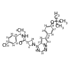 C[C@H](NC(=O)C1CN(c2ncnn3cc(-c4ccc(OC(C)(C)C)cc4)cc23)C1)c1ccc(Cl)cc1